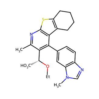 CCO[C@H](C(=O)O)c1c(C)nc2sc3c(c2c1-c1ccc2ncn(C)c2c1)CCCC3